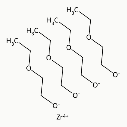 CCOCC[O-].CCOCC[O-].CCOCC[O-].CCOCC[O-].[Zr+4]